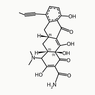 CC#Cc1ccc(O)c2c1C[C@H]1C[C@H]3C(N(C)C)C(O)=C(C(N)=O)C(=O)[C@@]3(O)C(O)=C1C2=O